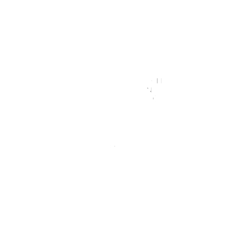 CN(C)CC=Cc1ccc(C(=O)Cc2ccccc2)cc1